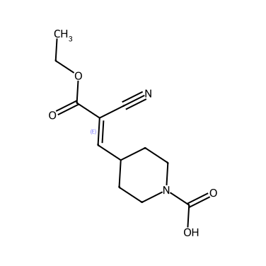 CCOC(=O)/C(C#N)=C/C1CCN(C(=O)O)CC1